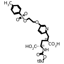 Cc1ccc(S(=O)(=O)OCCOc2ccc(C[C@@H](C[C@H](NC(=O)OC(C)(C)C)C(=O)O)C(=O)O)nc2)cc1